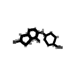 CC(C)(C)C1CCC(Oc2ccc3cc(Br)ccc3c2I)CC1